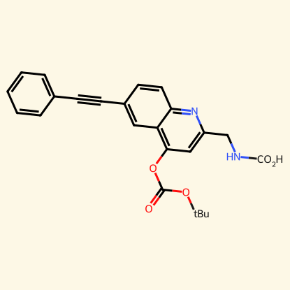 CC(C)(C)OC(=O)Oc1cc(CNC(=O)O)nc2ccc(C#Cc3ccccc3)cc12